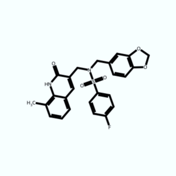 Cc1cccc2cc(CN(Cc3ccc4c(c3)OCO4)S(=O)(=O)c3ccc(F)cc3)c(=O)[nH]c12